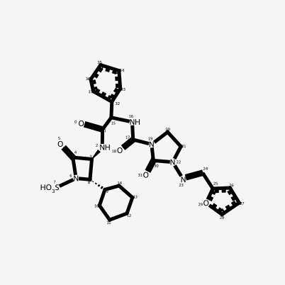 O=C(N[C@@H]1C(=O)N(S(=O)(=O)O)[C@H]1C1CCCCC1)C(NC(=O)N1CCN(/N=C/c2ccco2)C1=O)c1ccccc1